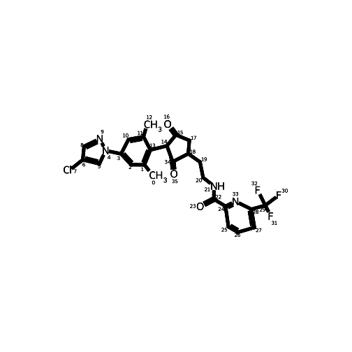 Cc1cc(-n2cc(Cl)cn2)cc(C)c1C1C(=O)CC(CCNC(=O)c2cccc(C(F)(F)F)n2)C1=O